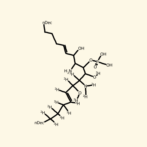 [2H]OC(C(OP(=O)(O)O)C(N)C(O)C=CCCCCCCCCCCCCC)C([2H])(N([2H])[2H])C([2H])(O[2H])C([2H])=C([2H])C([2H])([2H])C([2H])([2H])C([2H])([2H])CCCCCCCCCC